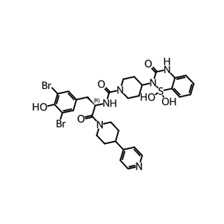 O=C(N[C@H](Cc1cc(Br)c(O)c(Br)c1)C(=O)N1CCC(c2ccncc2)CC1)N1CCC(N2C(=O)Nc3ccccc3S2(O)O)CC1